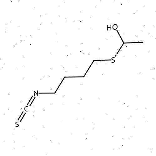 CC(O)SCCCCN=C=S